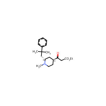 CCOC(=O)CC(=O)[C@H]1CCN(C)[C@H](CC(C)(C)c2ccccc2)C1